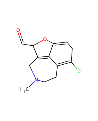 CN1CCC2=C(Cl)CC=C3OC(C=O)C(=C32)C1